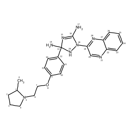 CC1CCCN1CCOc1ccc(C2(N)N=C(N)N(c3cnc4ccccc4n3)N2)cc1